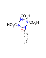 O=C(O)CN1CCN(CC(=O)O)CCN(CC(=O)C2CCC(CC3CCC3)CC2)CCN(CC(=O)O)CC1